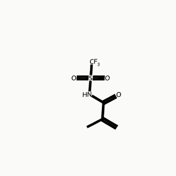 C=C(C)C(=O)NS(=O)(=O)C(F)(F)F